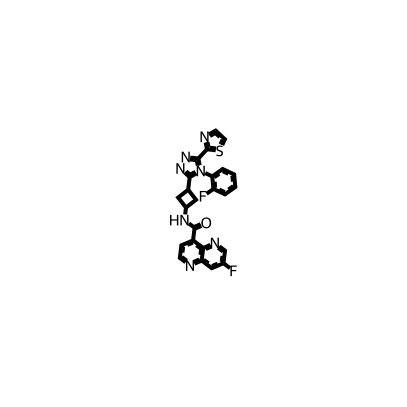 O=C(NC1CC(c2nnc(-c3nccs3)n2-c2ccccc2F)C1)c1ccnc2cc(F)cnc12